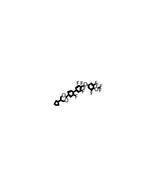 Fc1cc(C2OCC(C3CCCC3)CO2)ccc1-c1cc(F)c(C(F)(F)Oc2cc(F)c(OC(F)(F)F)c(F)c2)c(F)c1